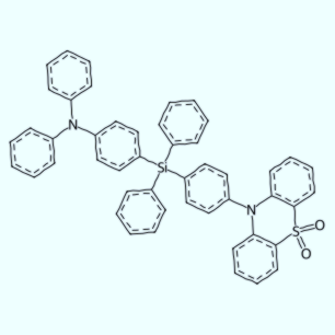 O=S1(=O)c2ccccc2N(c2ccc([Si](c3ccccc3)(c3ccccc3)c3ccc(N(c4ccccc4)c4ccccc4)cc3)cc2)c2ccccc21